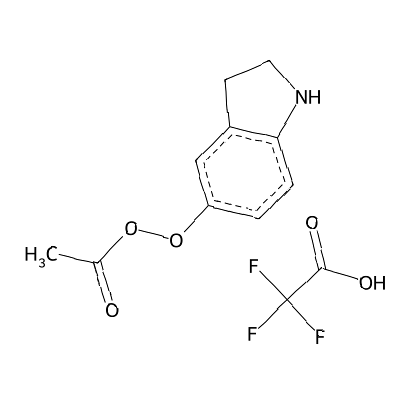 CC(=O)OOc1ccc2c(c1)CCN2.O=C(O)C(F)(F)F